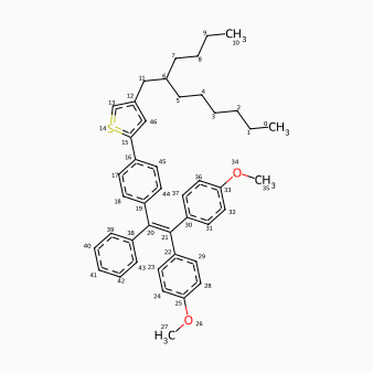 CCCCCCC(CCCC)Cc1csc(-c2ccc(C(=C(c3ccc(OC)cc3)c3ccc(OC)cc3)c3ccccc3)cc2)c1